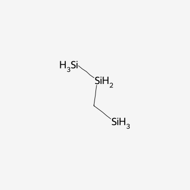 [SiH3]C[SiH2][SiH3]